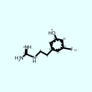 N=C(N)NCCc1cc(O)cc(F)c1